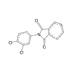 O=C1c2ccccc2C(=O)N1c1ccc(Cl)c(Cl)c1